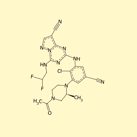 CC(=O)N1CCN(c2cc(C#N)cc(Nc3nc(NCC(F)F)n4ncc(C#N)c4n3)c2Cl)[C@@H](C)C1